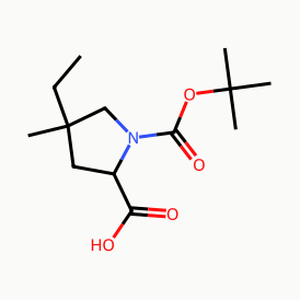 CCC1(C)CC(C(=O)O)N(C(=O)OC(C)(C)C)C1